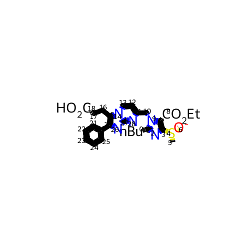 CCCCc1nc([S+](C)[O-])c(C(=O)OCC)n1Cc1ccn2c(CCC(=O)O)c(-c3ccccc3)nc2n1